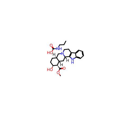 CCCNC(=O)O.COC(=O)[C@@H]1[C@H]2C[C@H]3c4[nH]c5ccccc5c4CCN3C[C@@H]2CC[C@@H]1O